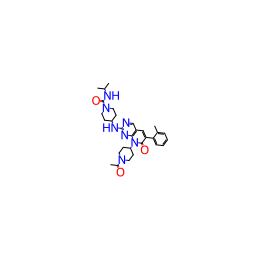 CC(=O)N1CCC(n2c(=O)c(-c3ccccc3C)cc3cnc(NC4CCN(C(=O)NC(C)C)CC4)nc32)CC1